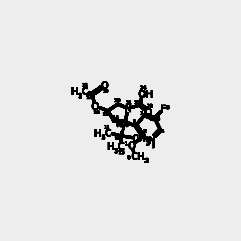 COc1ncc(F)cc1[C@]1(C(C)(C)C)CC(OC(C)=O)CN1C(=O)O